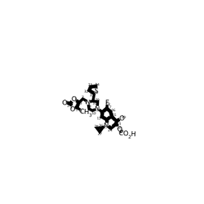 Cc1oc(=O)oc1CN1CCN(c2cc3c(cc2F)c(=O)c(OC(=O)O)cn3C2CC2)CC1c1cccs1